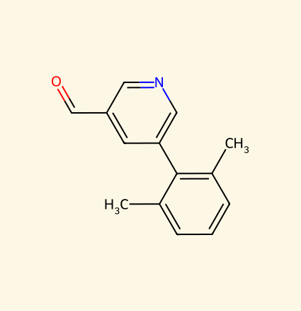 Cc1cccc(C)c1-c1cncc(C=O)c1